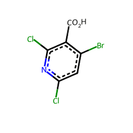 O=C(O)c1c(Br)cc(Cl)nc1Cl